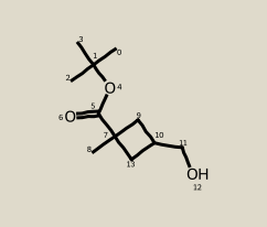 CC(C)(C)OC(=O)C1(C)CC(CO)C1